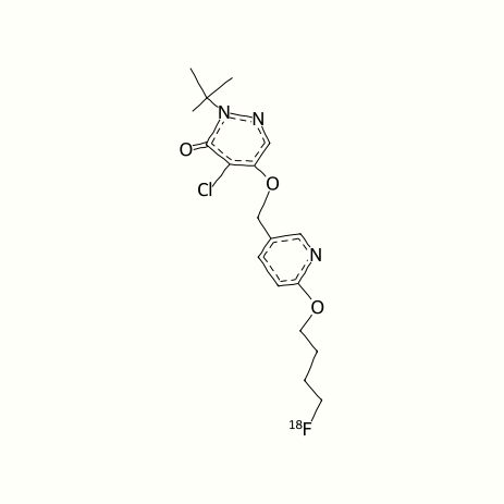 CC(C)(C)n1ncc(OCc2ccc(OCCCC[18F])nc2)c(Cl)c1=O